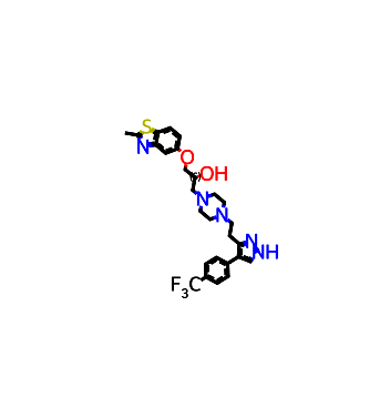 Cc1nc2cc(OC[C@@H](O)CN3CCN(CCc4n[nH]cc4-c4ccc(C(F)(F)F)cc4)CC3)ccc2s1